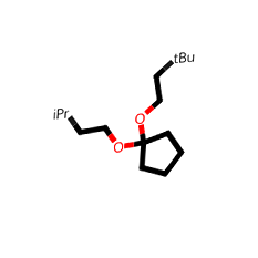 CC(C)CCOC1(OCCC(C)(C)C)CCCC1